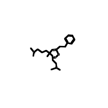 CCCO[SiH](CCc1ccccc1)CC(C)(CCCN(C)C)CCCN(C)C